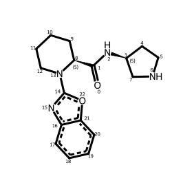 O=C(N[C@H]1CCNC1)[C@@H]1CCCCN1c1nc2ccccc2o1